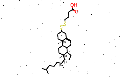 CC(C)CCC[C@@H](C)[C@H]1CCC2C3CC=C4CC(SSCCCC(=O)O)CC[C@]4(C)C3CC[C@@]21C